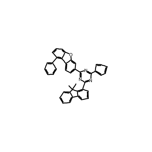 CC1(C)c2ccccc2-c2cccc(-c3nc(-c4ccccc4)nc(-c4ccc5c(c4)oc4cccc(-c6ccccc6)c45)n3)c21